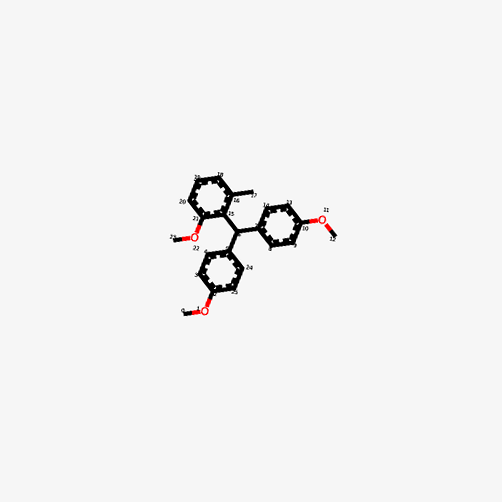 COc1ccc(C(c2ccc(OC)cc2)c2c(C)c[c]cc2OC)cc1